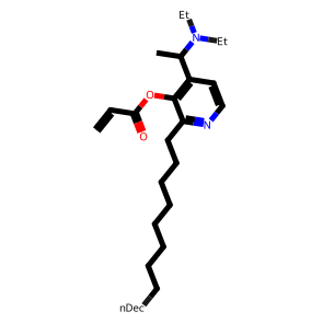 C=CC(=O)Oc1c(C(C)N(CC)CC)ccnc1CCCCCCCCCCCCCCCCCC